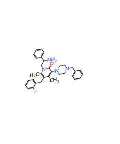 Cc1c(Cc2c(F)cccc2F)c(C)n(C[C@H](N)c2ccccc2)c(=O)c1N1CCN(Cc2ccccc2)CC1